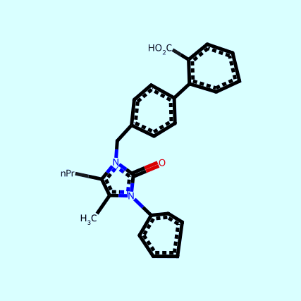 CCCc1c(C)n(-c2ccccc2)c(=O)n1Cc1ccc(-c2ccccc2C(=O)O)cc1